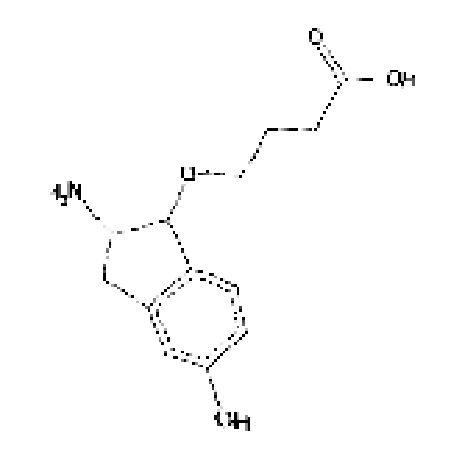 NC1Cc2cc(O)ccc2C1OCCCC(=O)O